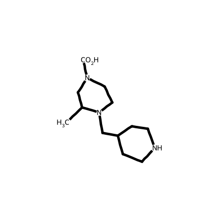 CC1CN(C(=O)O)CCN1CC1CCNCC1